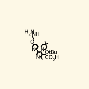 Cc1ncc(-c2ccc(OCCNN)cn2)c(N2CCC(C)(C)CC2)c1[C@H](OC(C)(C)C)C(=O)O